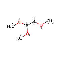 COBB(OC)OC